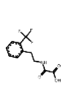 O=C(O)C(=O)NCCc1ccccc1C(F)(F)F